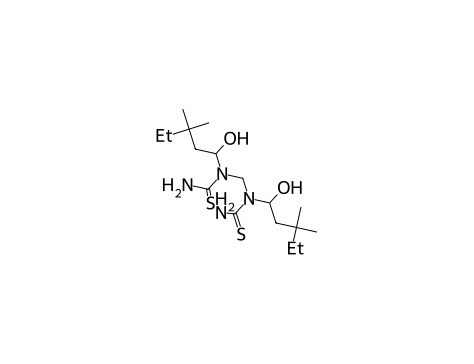 CCC(C)(C)CC(O)N(CN(C(N)=S)C(O)CC(C)(C)CC)C(N)=S